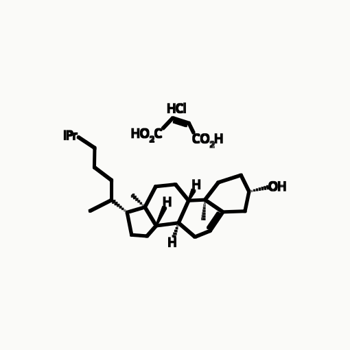 CC(C)CCCC(C)[C@H]1CC[C@H]2[C@@H]3CC=C4C[C@@H](O)CC[C@]4(C)[C@H]3CC[C@]12C.Cl.O=C(O)/C=C\C(=O)O